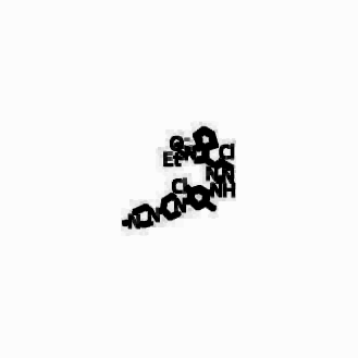 CC[S+]([O-])n1cc(-c2nc(Nc3cc(Cl)c(N4CCC(N5CCN(C)CC5)CC4)cc3C)ncc2Cl)c2ccccc21